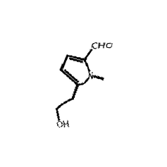 Cn1c(C=O)ccc1CCO